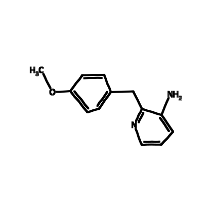 COc1ccc(Cc2ncccc2N)cc1